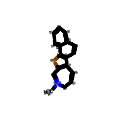 C[N+]1=Cc2sc3c(ccc4ccccc43)c2C=CC1